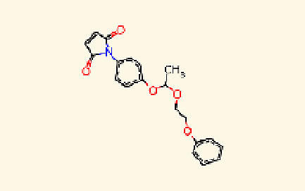 CC(OCCOc1ccccc1)Oc1ccc(N2C(=O)C=CC2=O)cc1